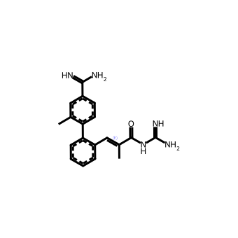 C/C(=C\c1ccccc1-c1ccc(C(=N)N)cc1C)C(=O)NC(=N)N